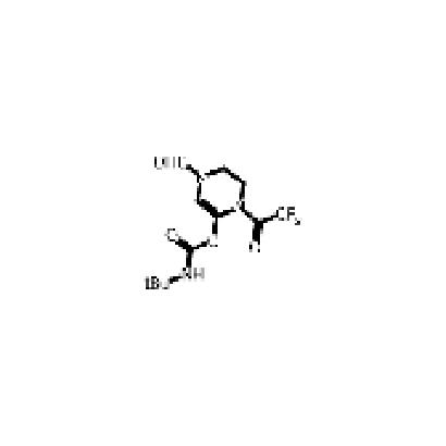 CC(C)(C)NC(=O)OC1=CN(C=O)CCN1C(=O)C(F)(F)F